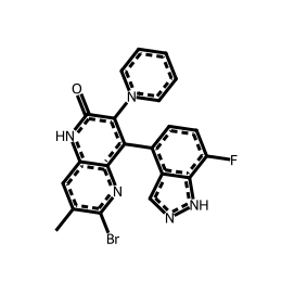 Cc1cc2[nH]c(=O)c(-[n+]3ccccc3)c(-c3ccc(F)c4[nH]ncc34)c2nc1Br